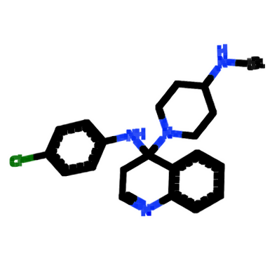 CC(C)(C)NC1CCN(C2(Nc3ccc(Cl)cc3)CC=Nc3ccccc32)CC1